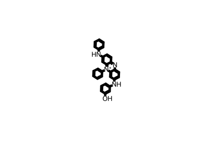 Oc1cccc(Nc2ccc3nc4ccc(Nc5ccccc5)cc4[n+](-c4ccccc4)c3c2)c1